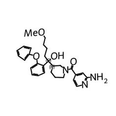 COCCCC[C@@](O)(c1ccccc1Oc1ccccc1)[C@@H]1CCCN(C(=O)c2ccnc(N)c2)C1